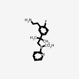 CC(C)(CN(C(=O)O)c1ccccn1)c1ccc(F)c(CCN)c1